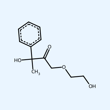 CC(O)(C(=O)COCCO)c1ccccc1